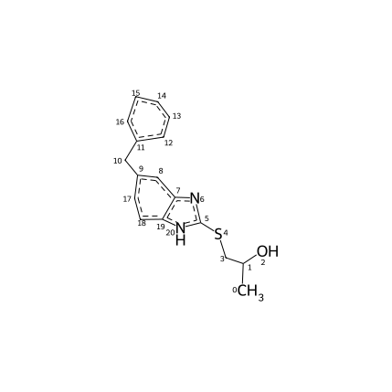 CC(O)CSc1nc2cc(Cc3ccccc3)ccc2[nH]1